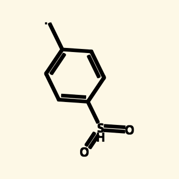 [CH2]c1ccc([SH](=O)=O)cc1